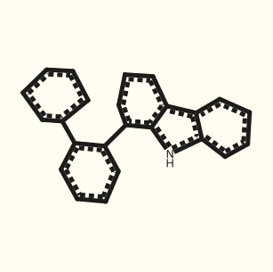 c1ccc(-c2ccccc2-c2cccc3c2[nH]c2ccccc23)cc1